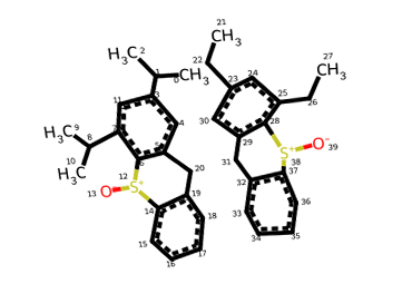 CC(C)c1cc2c(c(C(C)C)c1)[S+]([O-])c1ccccc1C2.CCc1cc(CC)c2c(c1)Cc1ccccc1[S+]2[O-]